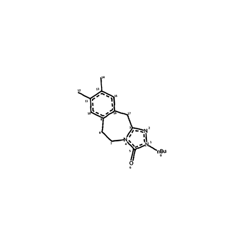 CCCCn1nc2n(c1=O)CCc1cc(C)c(C)cc1C2